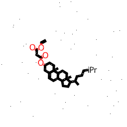 C=COC(=O)CC(=O)OC1CCC2(C)C(=CCC3C2CCC2(C)C(C(C)CCCC(C)C)CCC32)C1